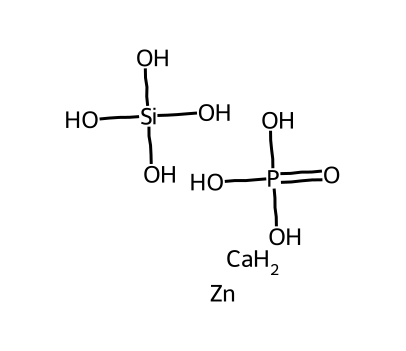 O=P(O)(O)O.O[Si](O)(O)O.[CaH2].[Zn]